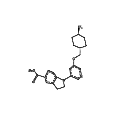 COC(=O)c1ccc2c(c1)CCN2c1cncc(OC[C@H]2CC[C@H](C(F)(F)F)CC2)c1